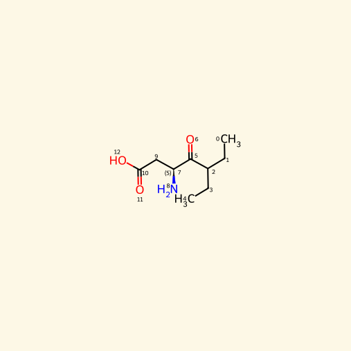 CCC(CC)C(=O)[C@@H](N)CC(=O)O